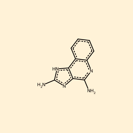 Nc1nc2c(N)nc3ccccc3c2[nH]1